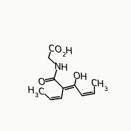 C\C=C/C(O)=C(\C=C/C)C(=O)NCC(=O)O